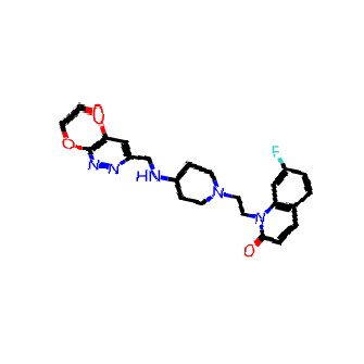 O=c1ccc2ccc(F)cc2n1CCN1CCC(NCc2cc3c(nn2)OCCO3)CC1